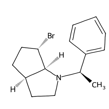 C[C@H](c1ccccc1)N1CC[C@H]2CC[C@H](Br)[C@H]21